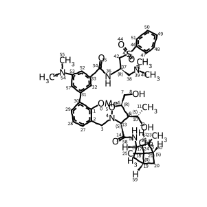 COc1c(CN2O[C@@H](CO)[C@@H]([C@H](C)O)[C@H]2C(=O)N[C@H]2C[C@H]3C[C@@H]([C@@H]2C)C3(C)C)cccc1-c1cc(C(=O)N[C@H](CN(C)C)CS(=O)(=O)c2ccccc2)cc(N(C)C)c1